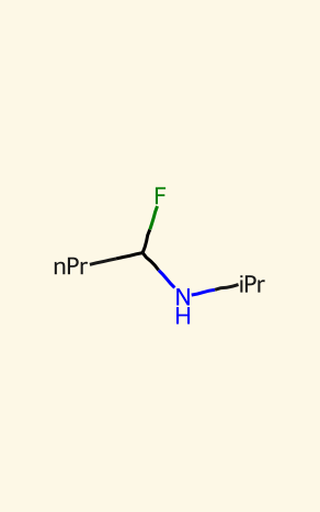 CCCC(F)NC(C)C